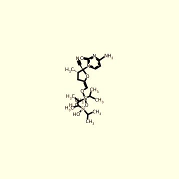 CC(C)[Si](O)(O[Si](O/C=C1\C[C@H](C)[C@](C#N)(n2ccc(N)nc2=O)O1)(C(C)C)C(C)C)C(C)C